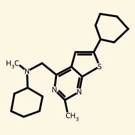 Cc1nc(CN(C)C2CCCCC2)c2cc(C3CCCCC3)sc2n1